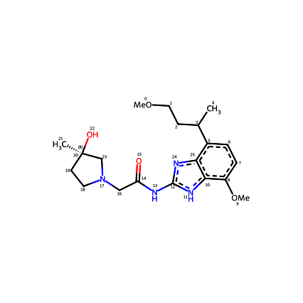 COCCC(C)c1ccc(OC)c2[nH]c(NC(=O)CN3CC[C@@](C)(O)C3)nc12